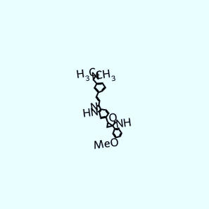 COc1ccc2c(c1)C1(CC1c1ccc3c(C=Cc4cccc(CN(C)C)c4)n[nH]c3c1)C(=O)N2